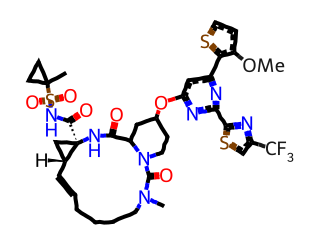 COc1ccsc1-c1cc(OC2CCN3C(=O)N(C)CCCC/C=C/[C@@H]4C[C@@]4(C(=O)NS(=O)(=O)C4(C)CC4)NC(=O)C3C2)nc(-c2nc(C(F)(F)F)cs2)n1